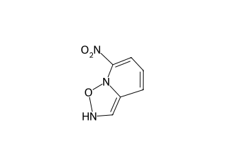 O=[N+]([O-])C1=CC=CC2=CNON21